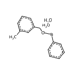 Cc1cccc(CO[B]c2ccccc2)c1.O.O